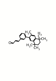 Cc1cc2c(cc1-c1cccc(C=CC=O)c1)C(C)(C)CCC2(C)C